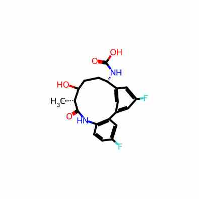 C[C@H]1C(=O)Nc2ccc(F)cc2-c2cc(F)cc(c2)[C@@H](NC(=O)O)CCC1O